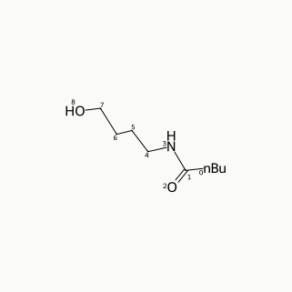 [CH2]CCCC(=O)NCCCCO